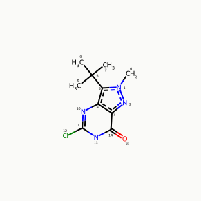 Cn1nc2c(c1C(C)(C)C)N=C(Cl)[N]C2=O